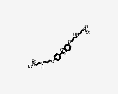 CCN(CC)CCNCCCOc1ccc(-c2nc3ccc(OCCCNCCN(CC)CC)cc3o2)cc1